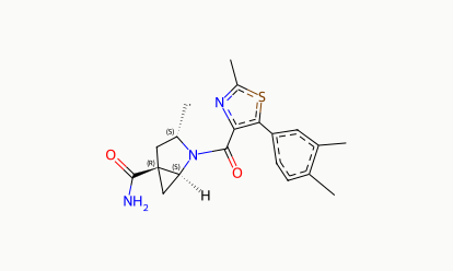 [CH2][C@H]1C[C@@]2(C(N)=O)C[C@@H]2N1C(=O)c1nc(C)sc1-c1ccc(C)c(C)c1